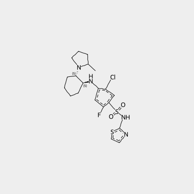 CC1CCCN1[C@H]1CCCC[C@@H]1Nc1cc(F)c(S(=O)(=O)Nc2nccs2)cc1Cl